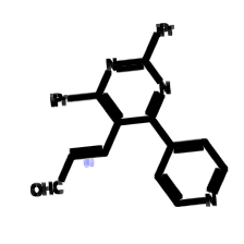 CC(C)c1nc(-c2ccncc2)c(/C=C/C=O)c(C(C)C)n1